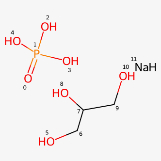 O=P(O)(O)O.OCC(O)CO.[NaH]